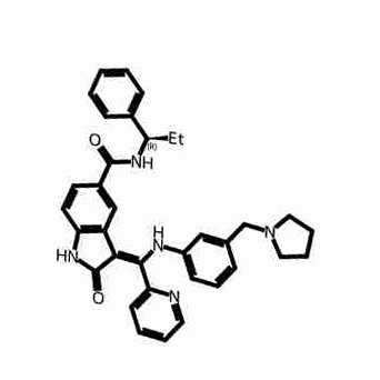 CC[C@@H](NC(=O)c1ccc2c(c1)C(=C(Nc1cccc(CN3CCCC3)c1)c1ccccn1)C(=O)N2)c1ccccc1